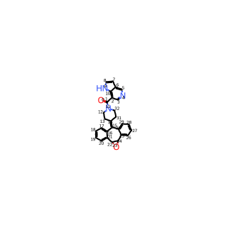 O=C(c1cncc2cc[nH]c12)N1CCC(=C2c3ccccc3C3OC3c3ccccc32)CC1